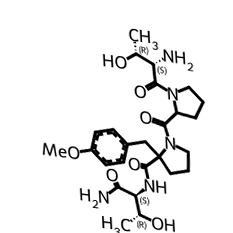 COc1ccc(CC2(C(=O)N[C@H](C(N)=O)[C@@H](C)O)CCCN2C(=O)C2CCCN2C(=O)[C@@H](N)[C@@H](C)O)cc1